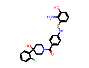 Nc1c(O)cccc1SNc1ccc(C(=O)N2CCC(O)(c3ccccc3Cl)CC2)cc1